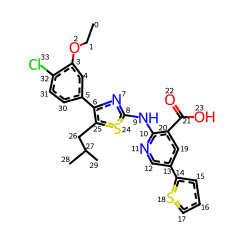 CCOc1cc(-c2nc(Nc3ncc(-c4cccs4)cc3C(=O)O)sc2CC(C)C)ccc1Cl